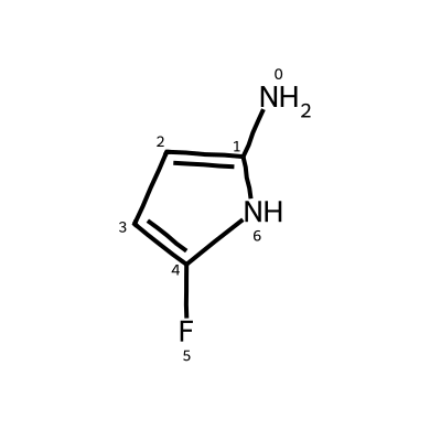 Nc1ccc(F)[nH]1